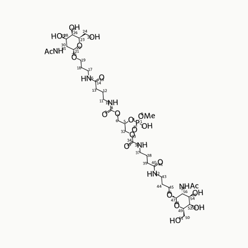 COP(=O)(O)OC(COC(=O)NCCCC(=O)NCCCO[C@@H]1O[C@H](CO)[C@H](O)[C@H](O)[C@H]1NC(C)=O)COC(=O)NCCCC(=O)NCCCO[C@@H]1O[C@H](CO)[C@H](O)[C@H](O)[C@H]1NC(C)=O